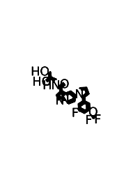 O=C(NCC(O)CO)c1cnn2ccc(N3CCCC3c3cc(F)cc(OC(F)F)c3)cc12